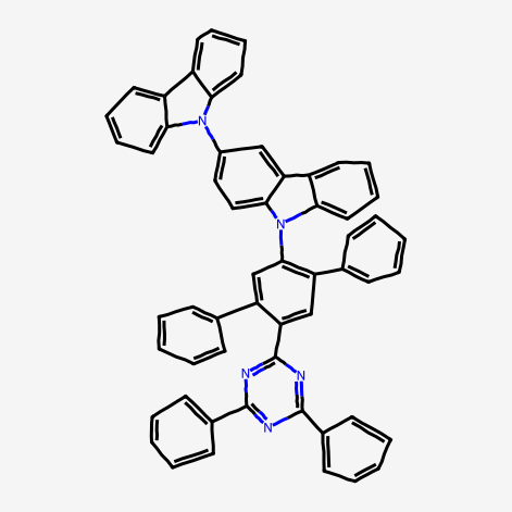 c1ccc(-c2nc(-c3ccccc3)nc(-c3cc(-c4ccccc4)c(-n4c5ccccc5c5cc(-n6c7ccccc7c7ccccc76)ccc54)cc3-c3ccccc3)n2)cc1